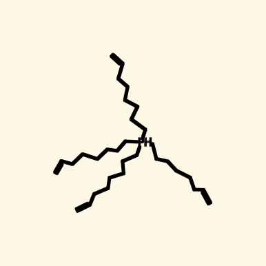 C=CCCCCCC[PH](CCCCCCC=C)(CCCCCCC=C)CCCCCCC=C